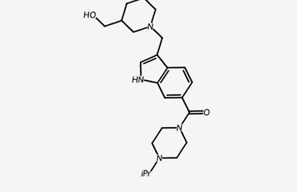 CC(C)N1CCN(C(=O)c2ccc3c(CN4CCCC(CO)C4)c[nH]c3c2)CC1